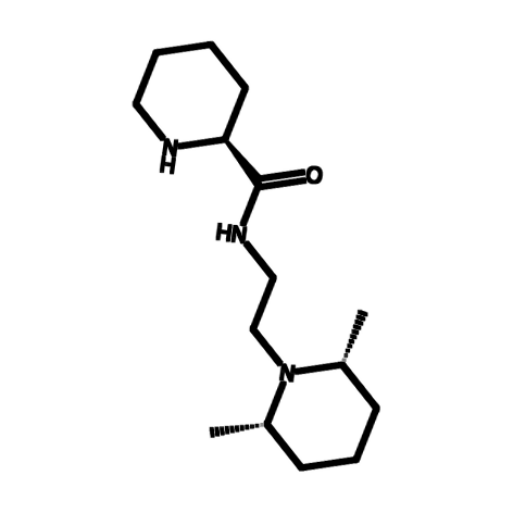 C[C@@H]1CCC[C@H](C)N1CCNC(=O)[C@@H]1CCCCN1